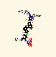 COc1nc(O[C@H]2CCc3c(-c4cccc5c4CC[C@@H]5Oc4nc(OC)c(CNCC(O)O)cc4Cl)cccc32)c(Cl)cc1CNCC(=O)O